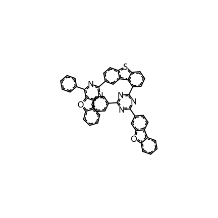 c1ccc(-c2nc(-c3ccc4c(c3)oc3ccccc34)nc(-c3cccc4sc5ccc(-c6nc(-c7ccccc7)c7oc8ccccc8c7n6)cc5c34)n2)cc1